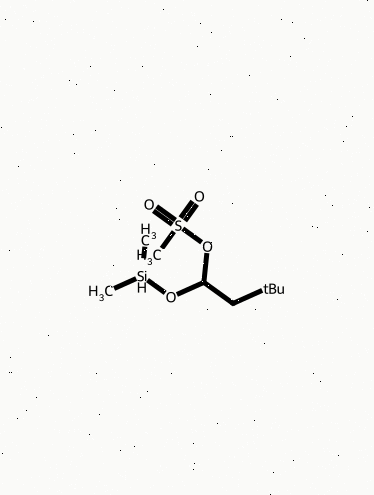 C[SiH](C)OC(CC(C)(C)C)OS(C)(=O)=O